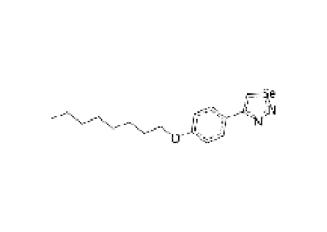 CCCCCCCCOc1ccc(-c2c[se]nn2)cc1